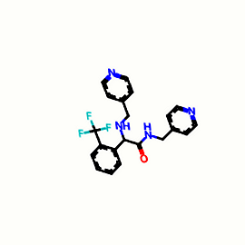 O=C(NCc1ccncc1)C(NCc1ccncc1)c1ccccc1C(F)(F)F